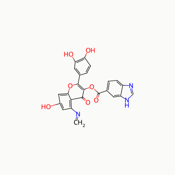 C=Nc1cc(O)cc2oc(-c3ccc(O)c(O)c3)c(OC(=O)c3ccc4nc[nH]c4c3)c(=O)c12